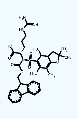 CC1=C2OC(C)(C)CC2C(C)C(S(=O)(=O)N(C(=O)OCC2c3ccccc3-c3ccccc32)[C@@H](CCCNC(=N)N)C(=O)O)=C1C